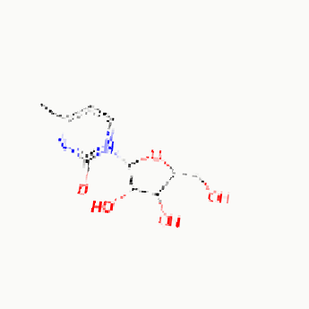 Cc1ccn([C@@H]2O[C@H](CO)[C@H](O)[C@@H]2O)c(=O)n1